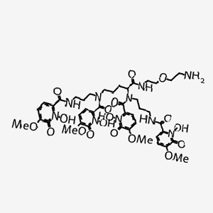 COc1ccc(C(=O)NCCCN(CCCC(C(=O)NCCOCCN)N(CCCNC(=O)c2ccc(OC)c(=O)n2O)C(=O)c2ccc(OC)c(=O)n2O)C(=O)c2ccc(OC)c(=O)n2O)n(O)c1=O